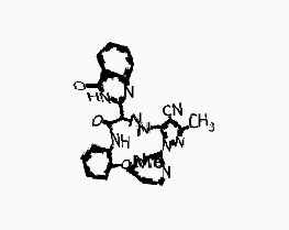 COc1ccccc1NC(=O)C(N=Nc1c(C#N)c(C)nn1-c1ncccn1)c1nc2ccccc2c(=O)[nH]1